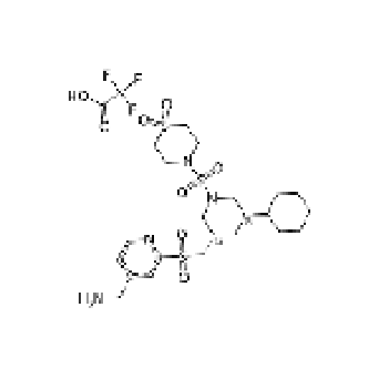 NCc1ccnc(S(=O)(=O)C[C@H]2C[C@H](C3CCCCC3)CN(S(=O)(=O)N3CCS(=O)(=O)CC3)C2)c1.O=C(O)C(F)(F)F